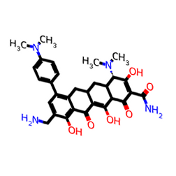 CN(C)c1ccc(-c2cc(CN)c(O)c3c2CC2CC4C(C(=O)C(C(N)=O)=C(O)[C@H]4N(C)C)C(O)=C2C3=O)cc1